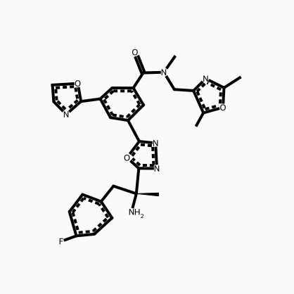 Cc1nc(CN(C)C(=O)c2cc(-c3ncco3)cc(-c3nnc([C@](C)(N)Cc4ccc(F)cc4)o3)c2)c(C)o1